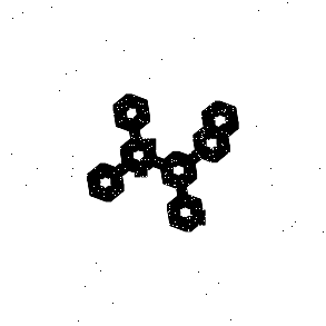 c1ccc(-c2cc(-c3ccccc3)nc(-c3cc(-c4cccnc4)cc(-c4ccc5ccccc5c4)c3)n2)cc1